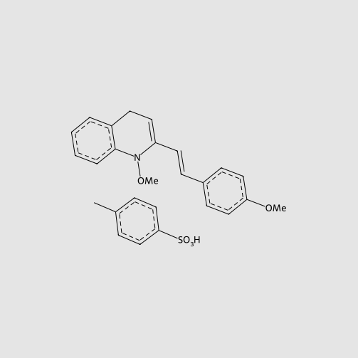 COc1ccc(C=CC2=CCc3ccccc3N2OC)cc1.Cc1ccc(S(=O)(=O)O)cc1